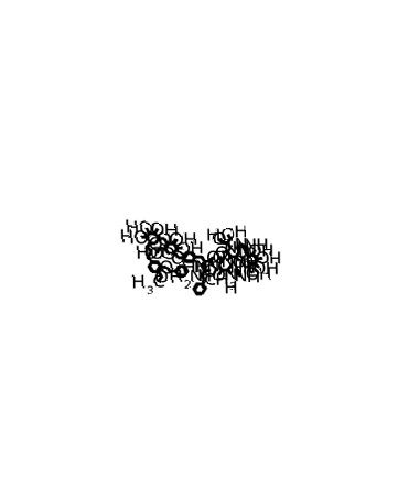 COc1ccc(COCC2OC(OC3C(CO)OC(Oc4ccc(CC(NC(=O)C(N)C(C)c5ccccc5)C(=O)NC(C(=O)NC(C(=O)NC([C]=O)CO)C(O)C5CNC(=N)N5C5OC(CO)C(O)C(O)C5O)C(O)C5CNC(=N)N5)cc4)C(O)C3O)C(O)C(O)C2O)cc1OCc1ccccc1